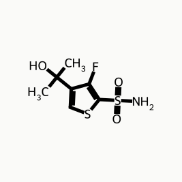 CC(C)(O)c1csc(S(N)(=O)=O)c1F